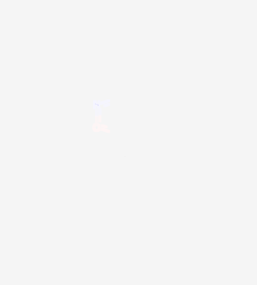 CC(C)(CS)c1ccno1